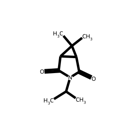 CC(C)N1C(=O)C2C(C1=O)C2(C)C